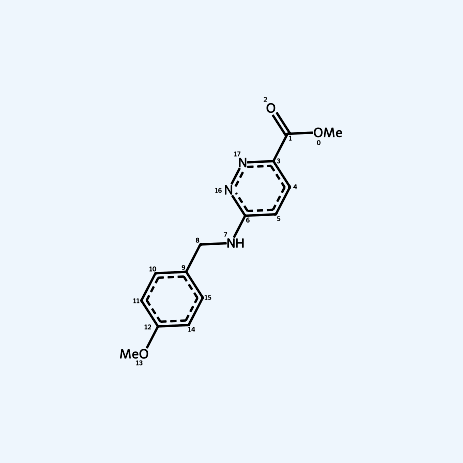 COC(=O)c1ccc(NCc2ccc(OC)cc2)nn1